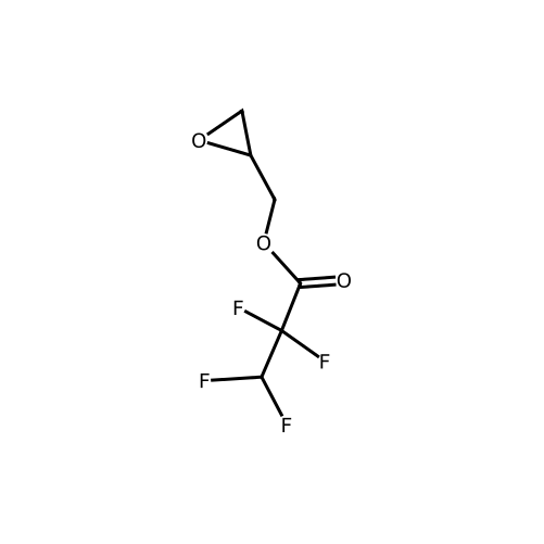 O=C(OCC1CO1)C(F)(F)C(F)F